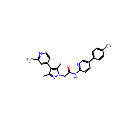 Cc1nn(CC(=O)Nc2ccc(-c3ccc(C#N)cc3)cn2)c(C)c1-c1ccnc(C(F)(F)F)c1